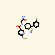 CC(=O)Nc1ccc(C(=O)N(CC(N)=O)[C@H]2CC[C@](CN)(c3cccc(Cl)c3)CC2)cn1